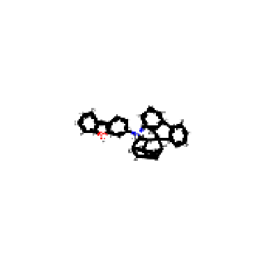 CN(c1ccc2c(c1)oc1ccccc12)c1cccc2c1C1(c3ccccc3-2)C2CC3CC(C2)CC1C3